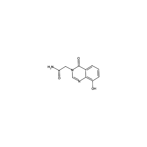 NC(=O)Cn1cnc2c(O)cccc2c1=O